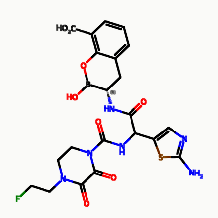 Nc1ncc(C(NC(=O)N2CCN(CCF)C(=O)C2=O)C(=O)N[C@H]2Cc3cccc(C(=O)O)c3OB2O)s1